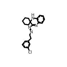 Clc1cccc(CCN=NC2=Nc3ccccc3NC23CCCCC3)c1